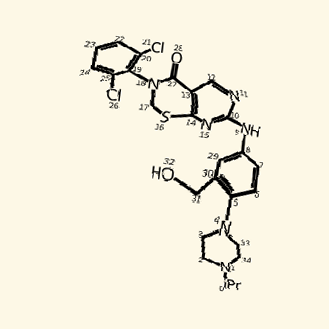 CC(C)N1CCN(c2ccc(Nc3ncc4c(n3)SCN(c3c(Cl)cccc3Cl)C4=O)cc2CO)CC1